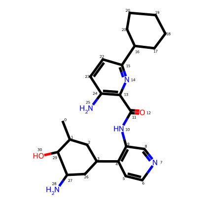 CC1CC(c2ccncc2NC(=O)c2nc(C3CCCCC3)ccc2N)CC(N)C1O